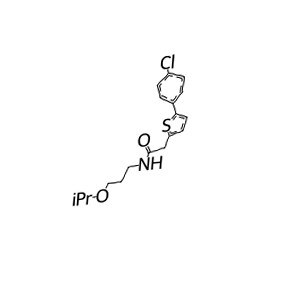 CC(C)OCCCNC(=O)Cc1ccc(-c2ccc(Cl)cc2)s1